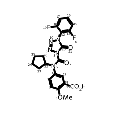 COc1ccc(N(C(=O)n2nnn(-c3c(F)cccc3F)c2=O)C2CCCC2)cc1C(=O)O